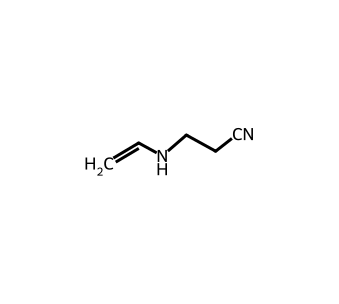 C=CNCCC#N